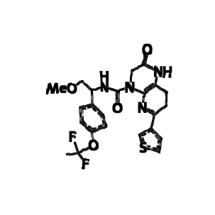 COCC(NC(=O)N1CC(=O)NC2=C1N=C(c1ccsc1)CC2)c1ccc(OC(C)(F)F)cc1